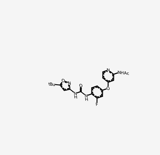 CC(=O)Nc1cc(Oc2ccc(NC(=O)Nc3cc(C(C)(C)C)on3)c(F)c2)ccn1